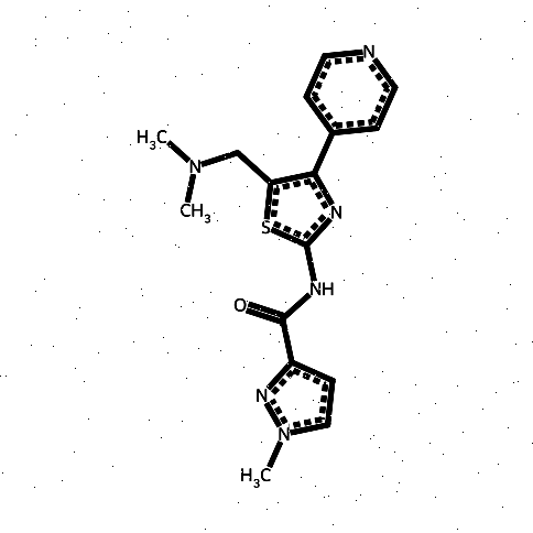 CN(C)Cc1sc(NC(=O)c2ccn(C)n2)nc1-c1ccncc1